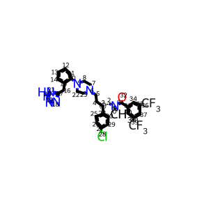 CN(C[C@@H](CCN1CCN(c2ccccc2Cc2nnn[nH]2)CC1)c1ccc(Cl)cc1)C(=O)c1cc(C(F)(F)F)cc(C(F)(F)F)c1